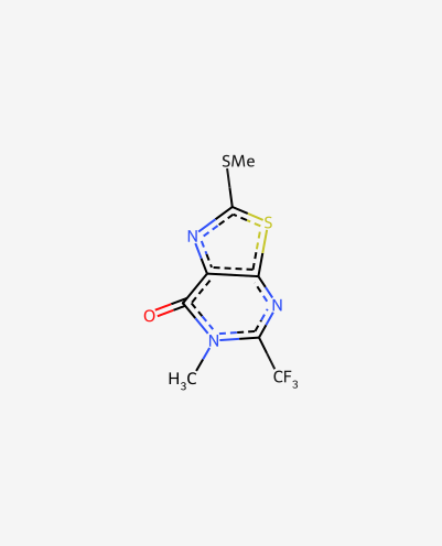 CSc1nc2c(=O)n(C)c(C(F)(F)F)nc2s1